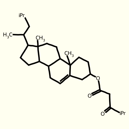 CC(C)CC(C)C1CCC2C3CC=C4CC(OC(=O)CC(=O)C(C)C)CCC4(C)C3CCC12C